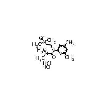 Cc1cc(C)nc(N(CC[N+](C)(C)[O-])C(=O)N(C)C)c1.Cl.Cl